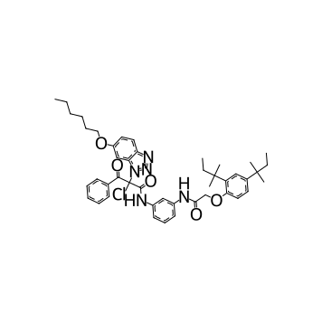 CCCCCCOc1ccc2nnn(C(Cl)(C(=O)Nc3cccc(NC(=O)COc4ccc(C(C)(C)CC)cc4C(C)(C)CC)c3)C(=O)c3ccccc3)c2c1